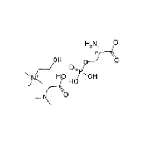 CN(C)CC(=O)O.C[N+](C)(C)CCO.N[C@@H](COP(=O)(O)O)C(=O)[O-]